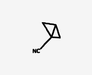 N#CC12CC1C2